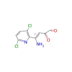 N/C(=C\C(=O)C=O)c1nc(Cl)ccc1Cl